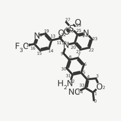 CC1OCC(c2ccc(CN(C(=O)c3ccc(C(F)(F)F)nc3)c3cccnc3S(C)(=O)=O)cc2N)=C1C#N